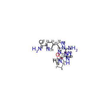 CC(=O)c1c(C2CC3CC[C@@H](C2)N3C(=O)c2nnc[nH]2)nc2c(-c3ccc(C(N)C(F)(F)F)nc3)cnn2c1N